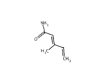 C=C/C(C)=C/C(N)=O